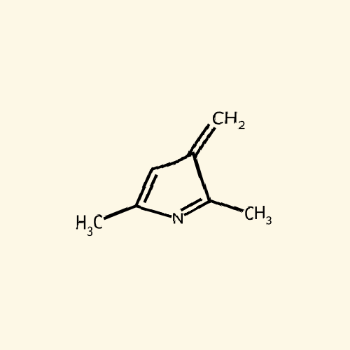 C=C1C=C(C)N=C1C